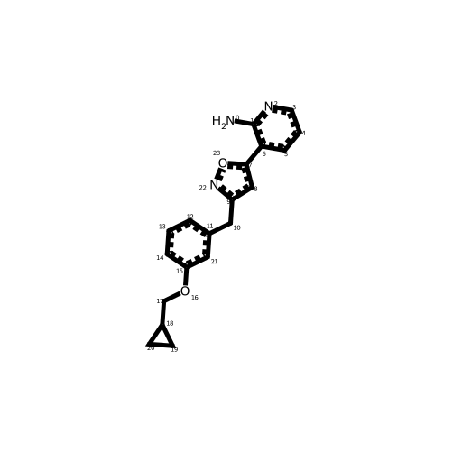 Nc1ncccc1-c1cc(Cc2cccc(OCC3CC3)c2)no1